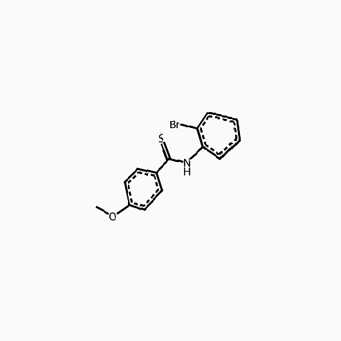 COc1ccc(C(=S)Nc2ccccc2Br)cc1